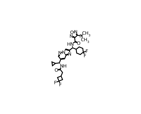 CN(C)c1nonc1C(=O)N[C@H](c1cn2ncc([C@H](NC(=O)CC3CC(F)(F)C3)C3CC3)cc2n1)C1CCC(F)(F)CC1